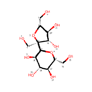 OC[C@H]1O[C@](CO)([C]2O[C@H](CO)[C@@H](O)[C@H](O)[C@H]2O)[C@@H](O)[C@@H]1O